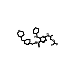 C[C@@H](COC(F)F)Nc1ncc(C(=O)NCc2ccc(CN3CCOCC3)cc2)c(NC2CCCCC2)n1